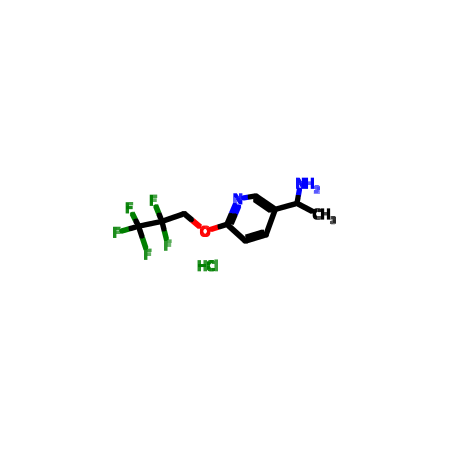 CC(N)c1ccc(OCC(F)(F)C(F)(F)F)nc1.Cl